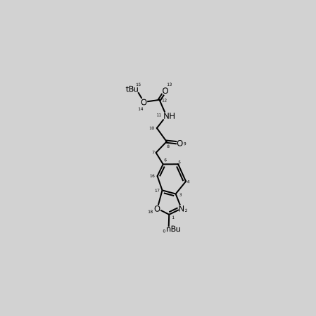 CCCCc1nc2ccc(CC(=O)CNC(=O)OC(C)(C)C)cc2o1